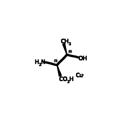 C[C@@H](O)[C@H](N)C(=O)O.[Cu]